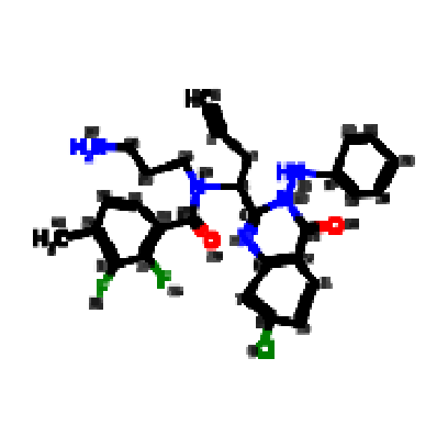 C#CCC(c1nc2cc(Cl)ccc2c(=O)n1Nc1ccccc1)N(CCCN)C(=O)c1ccc(C)c(F)c1F